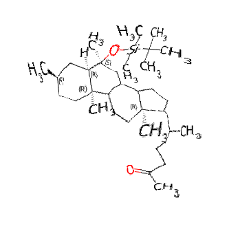 CC(=O)CCC(C)C1CCC2C3C[C@](C)(O[Si](C)(C)C(C)(C)C)[C@@H]4C[C@H](C)CC[C@]4(C)C3CC[C@]12C